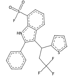 O=S(=O)(F)c1cccc2c(C(CC(F)(F)F)c3cccs3)c(-c3ccccc3)[nH]c12